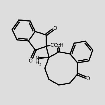 N[C@]1(C2(C(=O)O)C(=O)c3ccccc3C2=O)CCCCC(=O)c2ccccc2C1=O